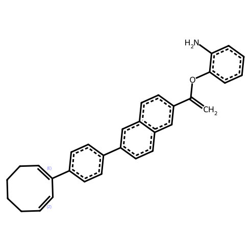 C=C(Oc1ccccc1N)c1ccc2cc(-c3ccc(C4=C/CCCC/C=C\4)cc3)ccc2c1